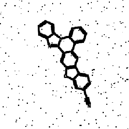 N#Cc1ccc2c(c1)oc1cc3c(cc12)c1ccccc1n1c2ccccc2nc31